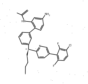 C=C(C)Nc1cc(N)ccc1-c1cccc([C@H](CCCC)c2ccc(-c3c(F)ccc(Cl)c3F)cn2)c1